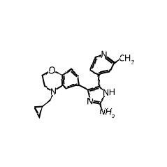 Cc1cc(-c2[nH]c(N)nc2-c2ccc3c(c2)N(CC2CC2)CCO3)ccn1